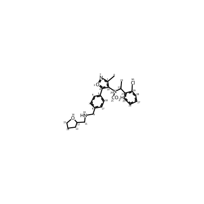 Cc1noc(-c2ccc(CNCC3CCCO3)cc2)c1N(C(=O)O)C(C)c1ccccc1Cl